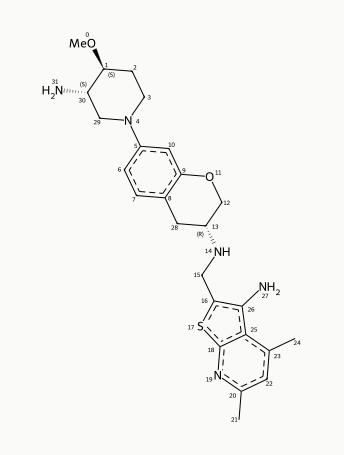 CO[C@H]1CCN(c2ccc3c(c2)OC[C@H](NCc2sc4nc(C)cc(C)c4c2N)C3)C[C@@H]1N